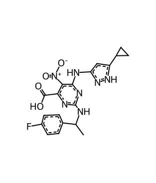 CC(Nc1nc(Nc2cc(C3CC3)[nH]n2)c([N+](=O)[O-])c(C(=O)O)n1)c1ccc(F)cc1